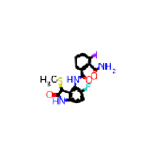 CSC1C(=O)Nc2ccc(F)c(NC(=O)C3=C(C(N)=O)C(I)CCC3)c21